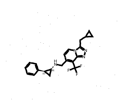 FC(F)(F)c1c(CN[C@@H]2C[C@H]2c2ccccc2)ccn2c(CC3CC3)nnc12